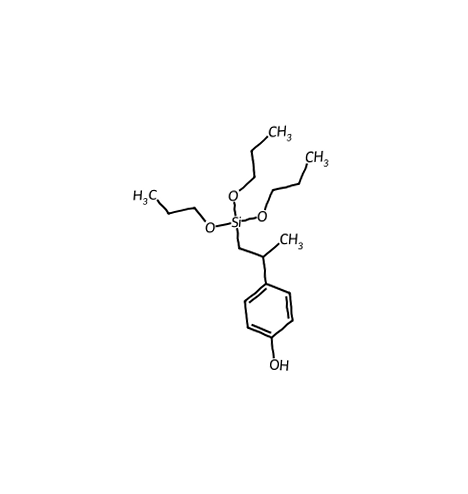 CCCO[Si](CC(C)c1ccc(O)cc1)(OCCC)OCCC